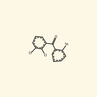 [2H]c1ccccc1C(=O)c1cccc(Cl)c1Cl